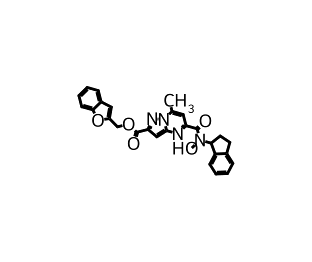 Cc1cc(C(=O)N(O)C2CCc3ccccc32)nc2cc(C(=O)OCc3cc4ccccc4o3)nn12